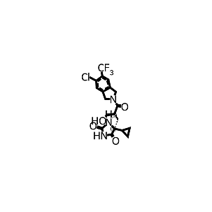 O=C1NC(=O)[C@](C[C@@H](CO)C(=O)N2Cc3cc(Cl)c(C(F)(F)F)cc3C2)(C2CC2)N1